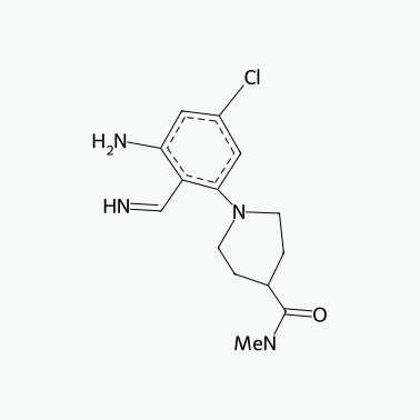 CNC(=O)C1CCN(c2cc(Cl)cc(N)c2C=N)CC1